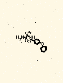 CCCC(NC(=O)c1ccc(Oc2ccccc2)cc1)C(N)=O